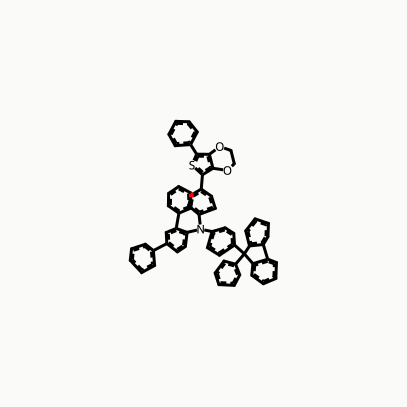 c1ccc(-c2ccc(N(c3ccc(-c4sc(-c5ccccc5)c5c4OCCO5)cc3)c3ccc(C4(c5ccccc5)c5ccccc5-c5ccccc54)cc3)c(-c3ccccc3)c2)cc1